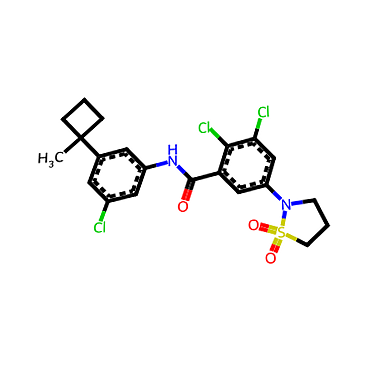 CC1(c2cc(Cl)cc(NC(=O)c3cc(N4CCCS4(=O)=O)cc(Cl)c3Cl)c2)CCC1